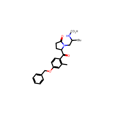 Cc1cc(OCc2ccccc2)ccc1C(=O)C1CCC(=O)N1CC(NC(=O)O)C(C)(C)C